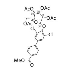 COC(=O)c1ccc(-c2cc(Cl)c(O[C@@H]3O[C@H](COC(C)=O)[C@@H](OC(C)=O)[C@H](OC(C)=O)[C@@H]3OC(C)=O)c(Cl)c2)cc1